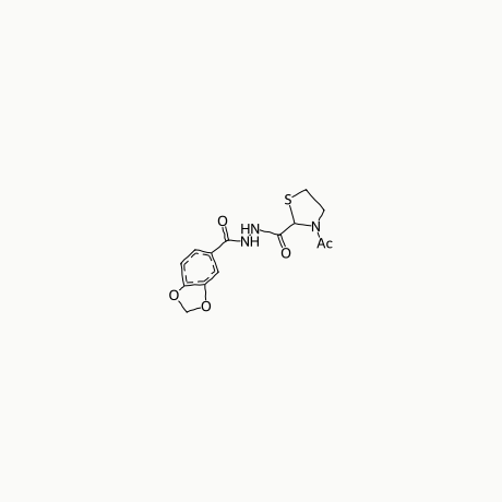 CC(=O)N1CCSC1C(=O)NNC(=O)c1ccc2c(c1)OCO2